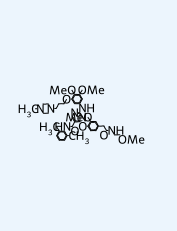 COCCNC(=O)Cc1ccc(Oc2nc(Nc3cc(OC)c(OC)c(OCCCN4CCN(C)CC4)c3)ncc2C(=O)Nc2c(C)cccc2C)c(OC)c1